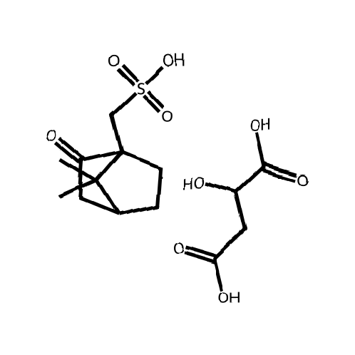 CC1(C)C2CCC1(CS(=O)(=O)O)C(=O)C2.O=C(O)CC(O)C(=O)O